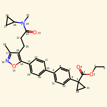 CCOC(=O)C1(c2ccc(-c3ccc(-c4onc(C)c4CCC(=O)N(C)C4CC4)cc3)cc2)CC1